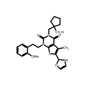 COc1ccccc1CCn1c(=O)n(CC2(C(=O)O)CCCC2)c(=O)c2c(C)c(C3NC=CO3)sc21